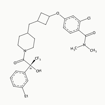 CCc1cccc([C@@](O)(C(=O)N2CCC(CC3CC(Oc4ccc(C(=O)N(C)C)c(Cl)c4)C3)CC2)C(F)(F)F)c1